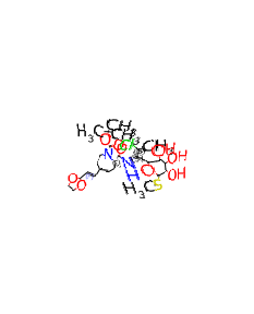 CSC1OC([C@H](NC(=O)[C@@H]2CC=C(/C=C/C3OCCO3)CCN2C(=O)OC(C)(C)C)[C@H](C)Cl)C(O)C(O)C1O